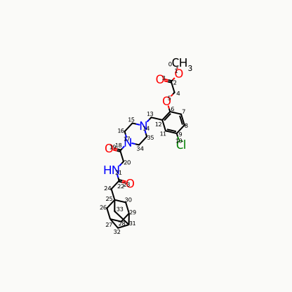 COC(=O)COc1ccc(Cl)cc1CN1CCN(C(=O)CNC(=O)CC23CC4CC(C2)C(C4)C3)CC1